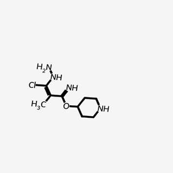 C/C(C(=N)OC1CCNCC1)=C(\Cl)NN